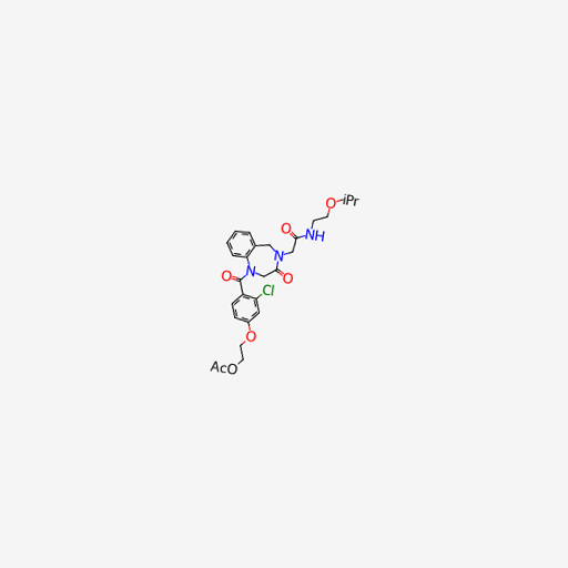 CC(=O)OCCOc1ccc(C(=O)N2CC(=O)N(CC(=O)NCCOC(C)C)Cc3ccccc32)c(Cl)c1